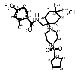 Cl.O=C(NCC1(N2CCN(S(=O)(=O)N3CCCC3)CC2)CCC(F)(F)CC1)c1ccc(C(F)(F)F)cc1Cl